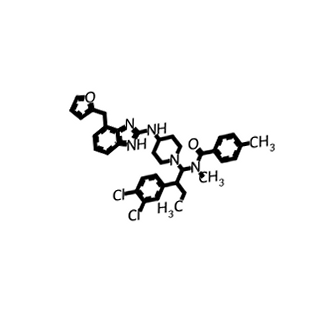 CCC(c1ccc(Cl)c(Cl)c1)C(N1CCC(Nc2nc3c(Cc4ccco4)cccc3[nH]2)CC1)N(C)C(=O)c1ccc(C)cc1